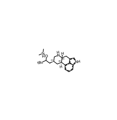 C[SiH](C)OC(C[C@H]1CN[C@@H]2Cc3c[nH]c4cccc(c34)[C@H]2C1)C(C)(C)C